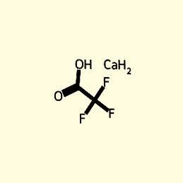 O=C(O)C(F)(F)F.[CaH2]